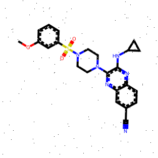 COc1cccc(S(=O)(=O)N2CCN(c3nc4cc(C#N)ccc4nc3NC3CC3)CC2)c1